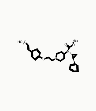 CC(C)(C)OC(=O)N(C1CCN(CCOc2ccc(C=CC(=O)O)cc2)CC1)[C@@H]1C[C@H]1c1ccccc1